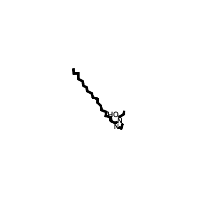 CCCCCCCCCCCCCCCCC=CC1=NCCN1C(O)CC